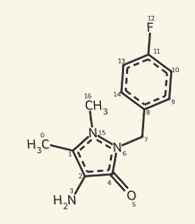 Cc1c(N)c(=O)n(Cc2ccc(F)cc2)n1C